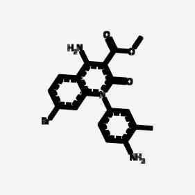 COC(=O)c1c(N)c2ccc(Br)cc2n(-c2ccc(N)c(C)c2)c1=O